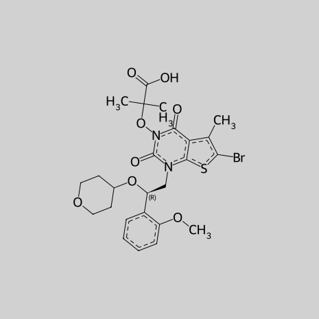 COc1ccccc1[C@H](Cn1c(=O)n(OC(C)(C)C(=O)O)c(=O)c2c(C)c(Br)sc21)OC1CCOCC1